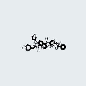 N#Cc1cnc2c(NC(=O)C=C3CCNCC3)c(OC3CCOC3)ccc2c1Nc1cnc(NC(=O)c2ccccc2)nc1